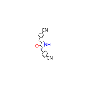 N#Cc1ccc(/C=C2\CNCC(Cc3ccc(C#N)cc3)C2=O)cc1